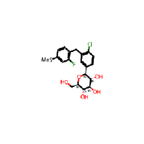 CSc1ccc(Cc2cc([C@@H]3O[C@H](CO)[C@@H](O)[C@H](O)[C@H]3O)ccc2Cl)c(F)c1